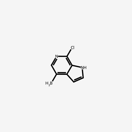 Bc1cnc(Cl)c2[nH]ccc12